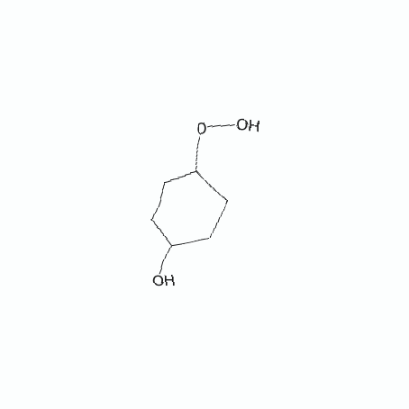 OOC1CCC(O)CC1